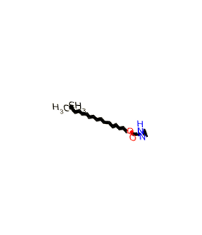 CC(C)CCCCCCCCCCCCCCCOC(=O)c1ncc[nH]1